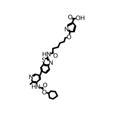 Cc1ncc(-c2ccc3nc(NC(=O)CCCCCOc4ccc(C(=O)O)cn4)sc3c2)cc1NC(=O)OC1CCCCC1